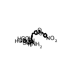 Nc1nc(C#CCC2CCN(C(=O)OCc3ccc([N+](=O)[O-])cc3)CC2)nc2c1ncn2[C@@H]1O[C@H](CO)C(O)[C@@H]1O